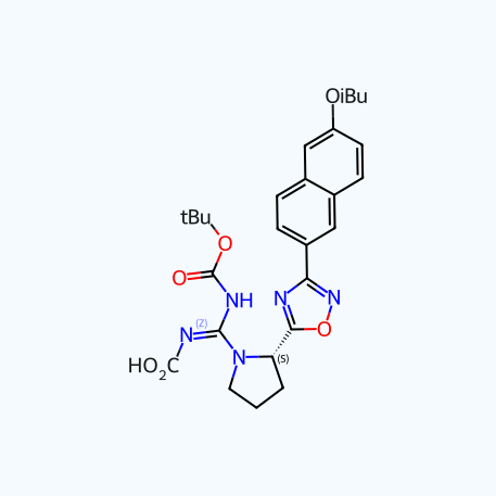 CC(C)COc1ccc2cc(-c3noc([C@@H]4CCCN4/C(=N\C(=O)O)NC(=O)OC(C)(C)C)n3)ccc2c1